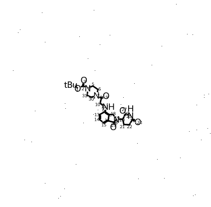 CC(C)(C)OC(=O)N1CCN(C(=O)CNc2cccc3c2CN(C2CCC(=O)NC2=O)C3=O)CC1